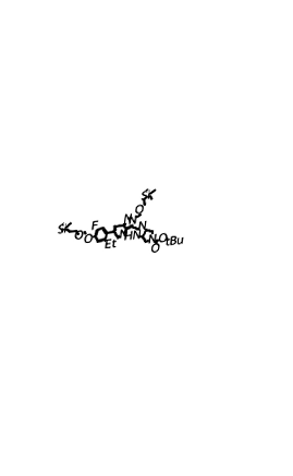 CCc1cc(OCOCC[Si](C)(C)C)c(F)cc1-c1cnc2c(C3=NC4CN(C(=O)OC(C)(C)C)CC4N3)n(COCC[Si](C)(C)C)nc2c1